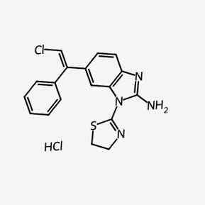 Cl.Nc1nc2ccc(/C(=C/Cl)c3ccccc3)cc2n1C1=NCCS1